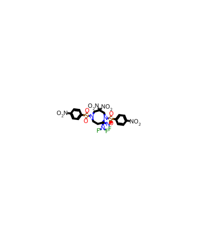 O=[N+]([O-])c1ccc(S(=O)(=O)N2CCC(N(F)F)(N(F)F)N(S(=O)(=O)c3ccc([N+](=O)[O-])cc3)CC([N+](=O)[O-])([N+](=O)[O-])C2)cc1